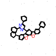 C1=CCC(c2ccc3oc4c5oc6ccc(-c7ccccc7)cc6c5cc(-c5cc(-c6ccccc6)nc(-c6ccccc6)n5)c4c3c2)C=C1